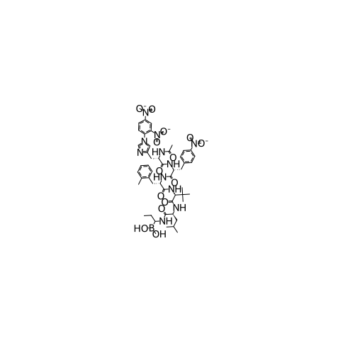 CCC(NC(=O)[C@H](CC(C)C)NC(=O)[C@@H](NC(=O)[C@H](Cc1ccccc1C)NC(=O)[C@@H](Cc1ccc([N+](=O)[O-])cc1)NC(=O)[C@H](Cc1cn(-c2ccc([N+](=O)[O-])cc2[N+](=O)[O-])cn1)NC(C)=O)C(C)(C)C)B(O)O